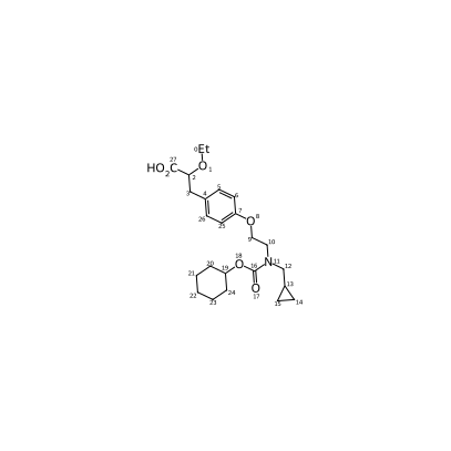 CCOC(Cc1ccc(OCCN(CC2CC2)C(=O)OC2CCCCC2)cc1)C(=O)O